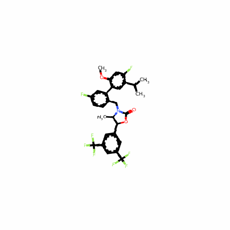 COc1cc(F)c(C(C)C)cc1-c1cc(F)ccc1CN1C(=O)OC(c2cc(C(F)(F)F)cc(C(F)(F)F)c2)C1C